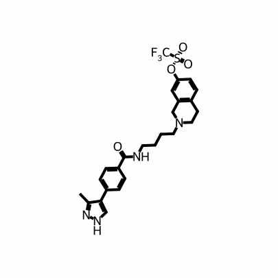 Cc1n[nH]cc1-c1ccc(C(=O)NCCCCN2CCc3ccc(OS(=O)(=O)C(F)(F)F)cc3C2)cc1